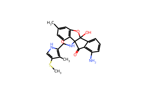 CSc1c[nH]c(C(=O)NC23C(=O)c4c(N)cccc4C2(O)Oc2cc(C)ccc23)c1C